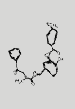 Cc1ccc(C(=O)Oc2cc(COC(=O)N(C)CC(=O)c3ccccc3)ccc2O)cc1